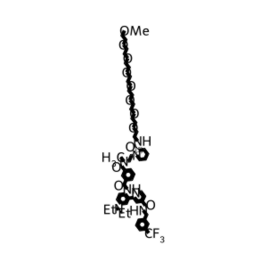 CCN(CC)c1ccc(NC(=O)c2cccc(C(=O)N(C)CCN3CCCC[C@H]3C(=O)NCCOCCOCCOCCOCCOCCOCCOCCOC)c2)c(-c2cc(C(=O)NCc3cccc(C(F)(F)F)c3)ccn2)c1